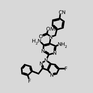 COC(=O)N(Cc1ccc(C#N)cc1)c1c(N)nc(-n2nc(Cc3ccccc3F)c3ncc(F)cc32)nc1N